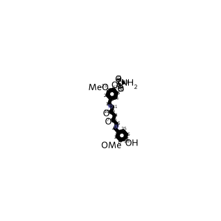 COc1cc(/C=C/C(=O)CC(=O)/C=C/c2ccc(OS(N)(=O)=O)c(OC)c2)ccc1O